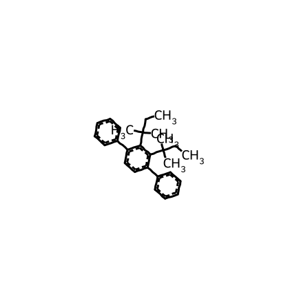 CCC(C)(C)c1c(-c2ccccc2)ccc(-c2ccccc2)c1C(C)(C)CC